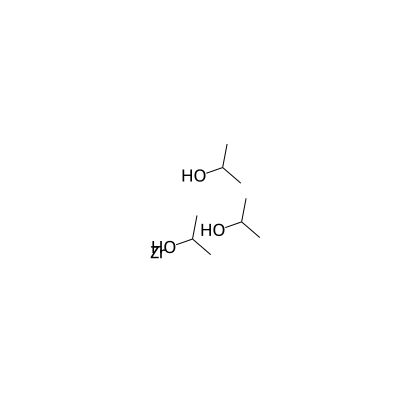 CC(C)O.CC(C)O.CC(C)O.[Zr]